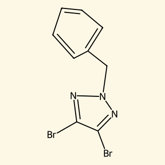 Brc1nn(Cc2ccccc2)nc1Br